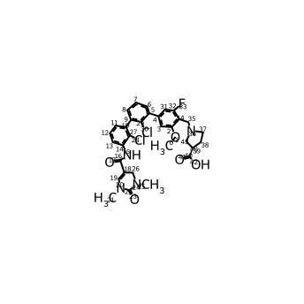 COc1cc(-c2cccc(-c3cccc(NC(=O)C4=CN(C)C(=O)N(C)C4)c3Cl)c2Cl)cc(F)c1CN1CC[C@@H](C(=O)O)C1